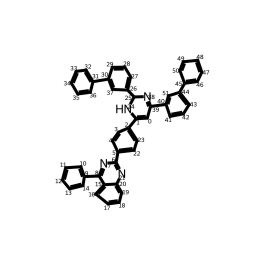 C1=C(c2ccc(-c3nc(-c4ccccc4)c4ccccc4n3)cc2)NC(c2cccc(-c3ccccc3)c2)N=C1c1cccc(-c2ccccc2)c1